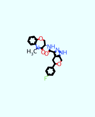 CN1C(=O)[C@@H](NC(=O)c2n[nH]c3c2CC(c2ccc(F)cc2)OC3)COc2ccccc21